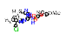 C=Cc1cnc2cnn(-c3cc(N4CCN(CC5=C(c6ccc(Cl)cc6)CC(C)(C)CC5)CC4)ccc3C(=O)NS(=O)(=O)c3ccc(OC[C@H]4CC[C@H](OC)CC4)c([N+](=O)[O-])c3)c2c1